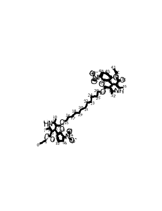 CCOC(=O)C1=C(C)NC(C)=C(C(=O)OCCCCCCCCCCCCOC(=O)C2=C(C)NC(C)=C(C(=O)OCC)C2c2cccc([N+](=O)[O-])c2)C1c1cccc([N+](=O)[O-])c1